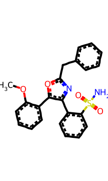 COc1ccccc1-c1oc(Cc2ccccc2)nc1-c1ccccc1S(N)(=O)=O